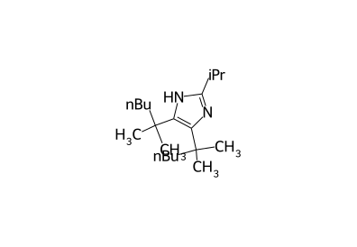 CCCCC(C)(C)c1nc(C(C)C)[nH]c1C(C)(C)CCCC